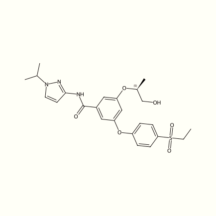 CCS(=O)(=O)c1ccc(Oc2cc(O[C@@H](C)CO)cc(C(=O)Nc3ccn(C(C)C)n3)c2)cc1